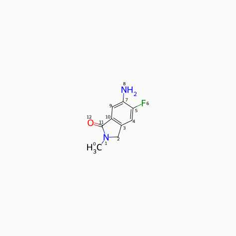 CN1Cc2cc(F)c(N)cc2C1=O